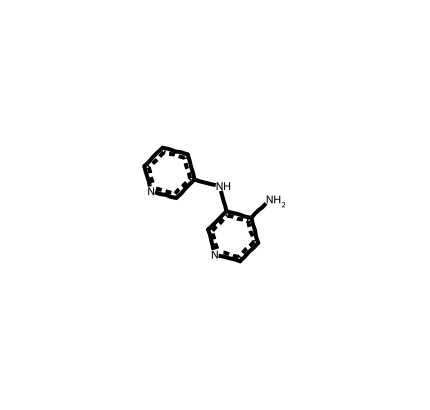 Nc1ccncc1Nc1cccnc1